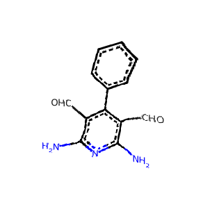 Nc1nc(N)c(C=O)c(-c2ccccc2)c1C=O